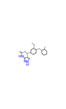 C=C1CC(c2ccc(Cc3ccccc3C)c(CC)c2)c2c[nH]nc2N1